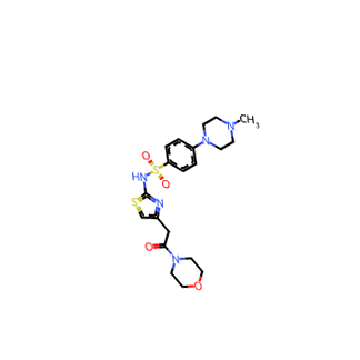 CN1CCN(c2ccc(S(=O)(=O)Nc3nc(CC(=O)N4CCOCC4)cs3)cc2)CC1